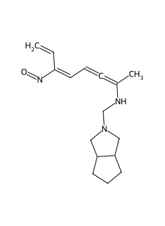 C=C/C(=C\C=C=C(C)NCN1CC2CCCC2C1)N=O